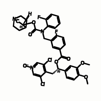 COc1ccc([C@H](Cc2c(Cl)c[n+]([O-])cc2Cl)OC(=O)c2ccc(F)c(CN(C(=O)O[C@H]3CN4CCC3CC4)c3ccccc3F)c2)cc1OC